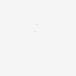 COc1nc(NC2CCCCC2)c(F)cc1CNC(=O)C1CCCN1